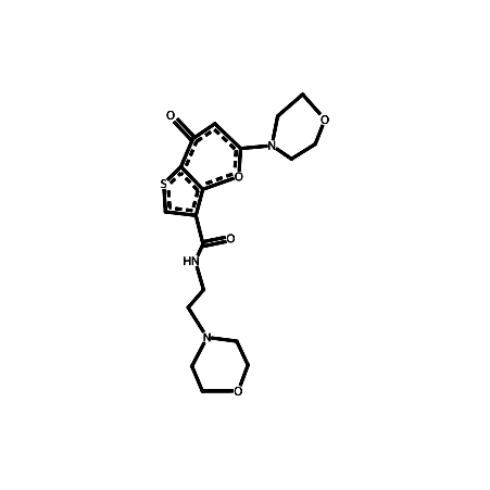 O=C(NCCN1CCOCC1)c1csc2c(=O)cc(N3CCOCC3)oc12